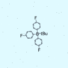 CC(C)(C)[B-](c1ccc(F)cc1)(c1ccc(F)cc1)c1ccc(F)cc1